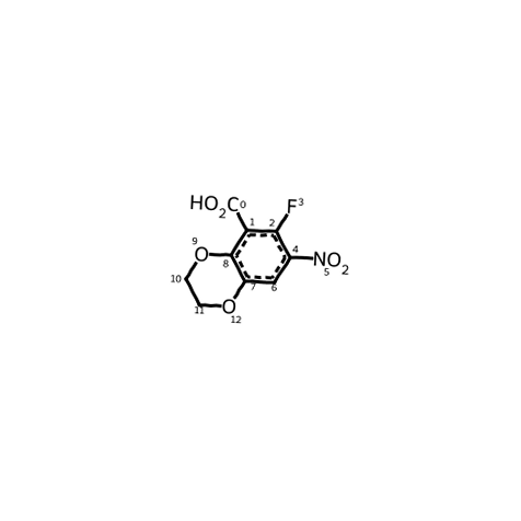 O=C(O)c1c(F)c([N+](=O)[O-])cc2c1OCCO2